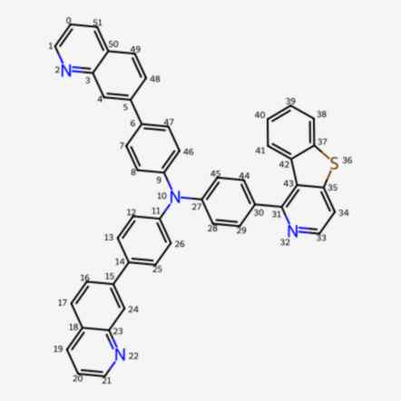 c1cnc2cc(-c3ccc(N(c4ccc(-c5ccc6cccnc6c5)cc4)c4ccc(-c5nccc6sc7ccccc7c56)cc4)cc3)ccc2c1